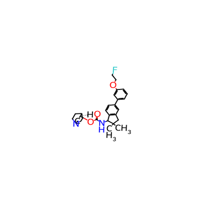 CC1(C)Cc2cc(-c3cccc(OCCF)c3)ccc2C1NC(=O)O[C@H]1CN2CCC1CC2